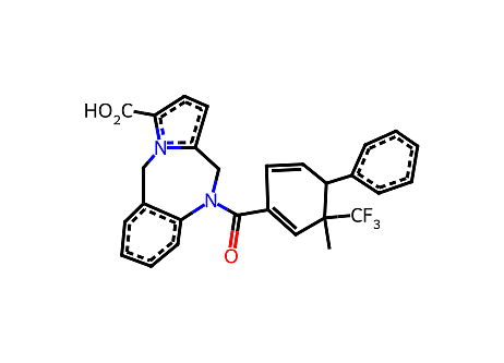 CC1(C(F)(F)F)C=C(C(=O)N2Cc3ccc(C(=O)O)n3Cc3ccccc32)C=CC1c1ccccc1